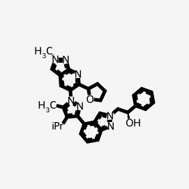 Cc1c(C(C)C)c(-c2cccc3nn(C[C@H](O)c4ccccc4)cc23)nn1-c1cc2cn(C)nc2nc1C1CCCO1